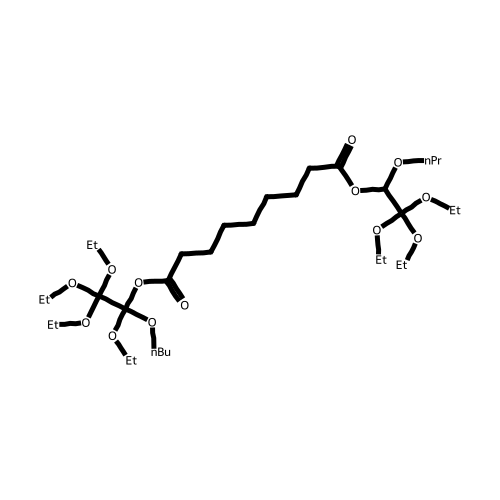 CCCCOC(OCC)(OC(=O)CCCCCCCC(=O)OC(OCCC)C(OCC)(OCC)OCC)C(OCC)(OCC)OCC